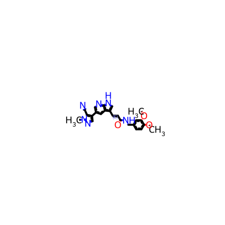 COc1ccc(CNC(=O)/C=C/c2c[nH]c3ncc(-c4cnn(C)c4C#N)cc23)cc1OC